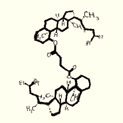 CC[C@H](CC[C@@H](C)[C@H]1CC[C@H]2[C@@H]3CCC4CCCC(OC(=O)CCC(=O)OC5CCCC6CC[C@@H]7[C@H](CC[C@]8(C)[C@@H]([C@H](C)CC[C@@H](CC)C(C)C)CC[C@@H]78)[C@]65C)[C@]4(C)[C@H]3CC[C@]12C)C(C)C